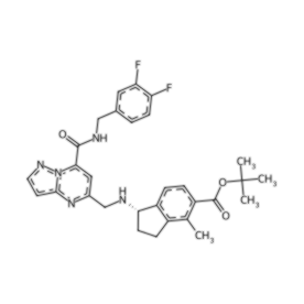 Cc1c(C(=O)OC(C)(C)C)ccc2c1CC[C@@H]2NCc1cc(C(=O)NCc2ccc(F)c(F)c2)n2nccc2n1